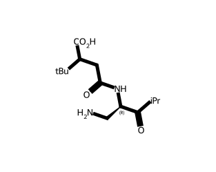 CC(C)C(=O)[C@@H](CN)NC(=O)CC(C(=O)O)C(C)(C)C